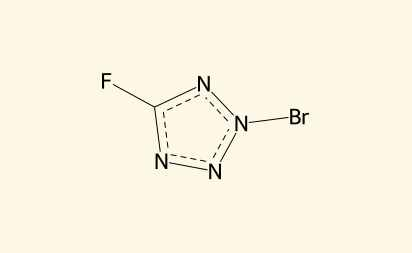 Fc1nnn(Br)n1